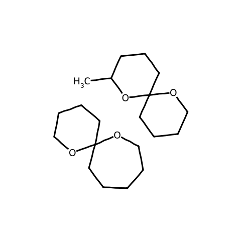 C1CCOC2(CC1)CCCCO2.CC1CCCC2(CCCCO2)O1